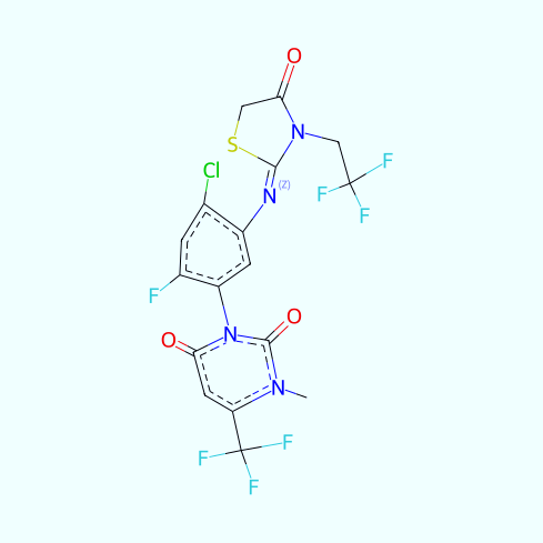 Cn1c(C(F)(F)F)cc(=O)n(-c2cc(/N=C3\SCC(=O)N3CC(F)(F)F)c(Cl)cc2F)c1=O